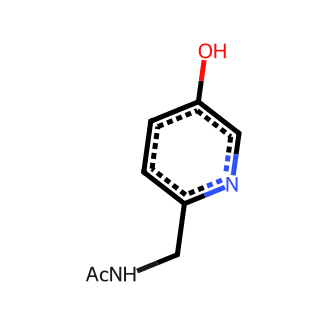 CC(=O)NCc1ccc(O)cn1